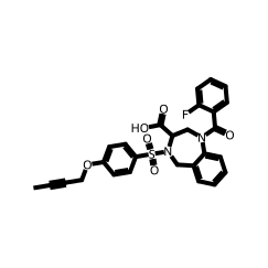 CC#CCOc1ccc(S(=O)(=O)N2Cc3ccccc3N(C(=O)c3ccccc3F)CC2C(=O)O)cc1